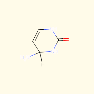 [2H]C1(N)C=CNC(=O)N1